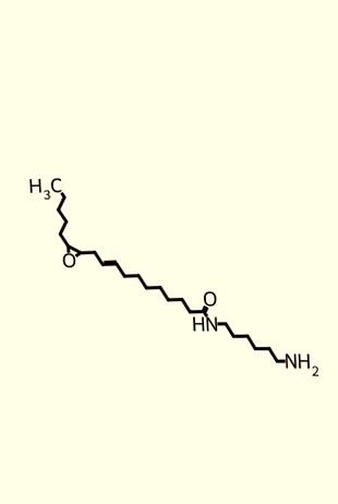 CCCCCC1OC1CC=CCCCCCCCC(=O)NCCCCCCN